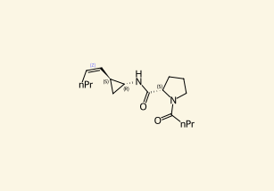 CCC/C=C\[C@@H]1C[C@H]1NC(=O)[C@@H]1CCCN1C(=O)CCC